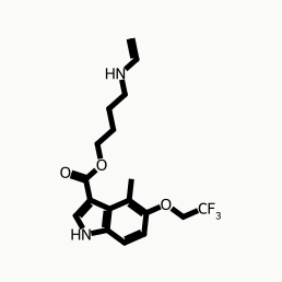 C=CNCCCCOC(=O)c1c[nH]c2ccc(OCC(F)(F)F)c(C)c12